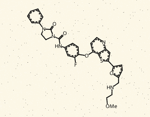 COCCNCc1ccc(-c2cc3nccc(Oc4ccc(NC(=O)N5CCN(c6ccccc6)C5=O)cc4F)c3s2)o1